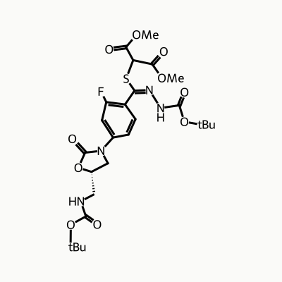 COC(=O)C(SC(=NNC(=O)OC(C)(C)C)c1ccc(N2C[C@H](CNC(=O)OC(C)(C)C)OC2=O)cc1F)C(=O)OC